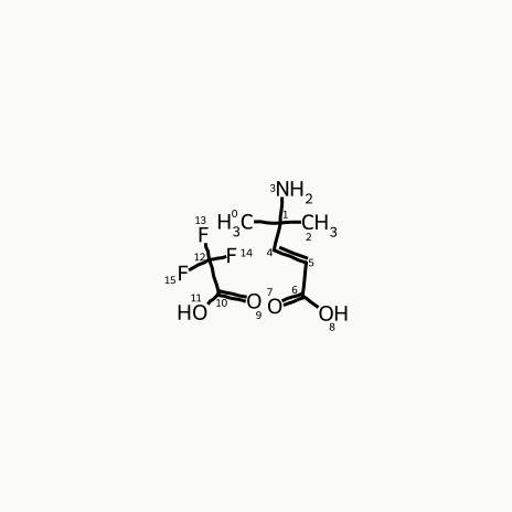 CC(C)(N)C=CC(=O)O.O=C(O)C(F)(F)F